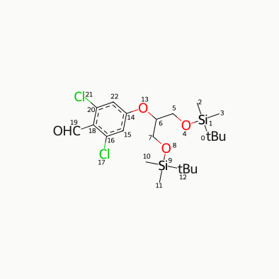 CC(C)(C)[Si](C)(C)OCC(CO[Si](C)(C)C(C)(C)C)Oc1cc(Cl)c(C=O)c(Cl)c1